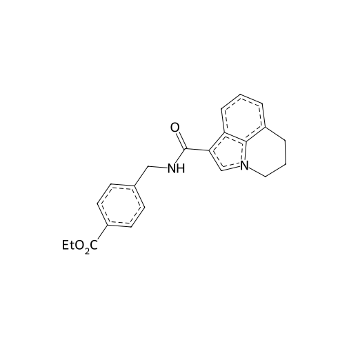 CCOC(=O)c1ccc(CNC(=O)c2cn3c4c(cccc24)CCC3)cc1